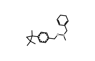 CN(CC1=CCCC=C1)OCc1ccc(C2(C)CC2(C)C)cc1